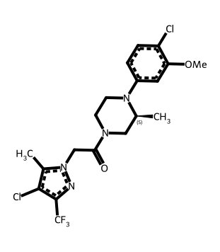 COc1cc(N2CCN(C(=O)Cn3nc(C(F)(F)F)c(Cl)c3C)C[C@@H]2C)ccc1Cl